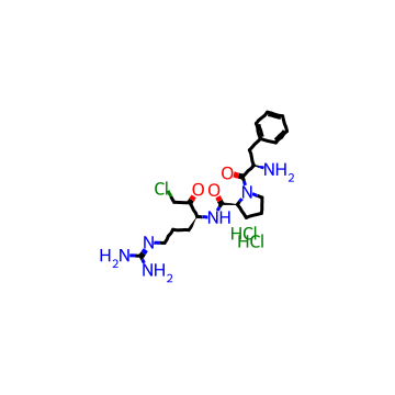 Cl.Cl.NC(N)=NCCC[C@H](NC(=O)[C@@H]1CCCN1C(=O)[C@H](N)Cc1ccccc1)C(=O)CCl